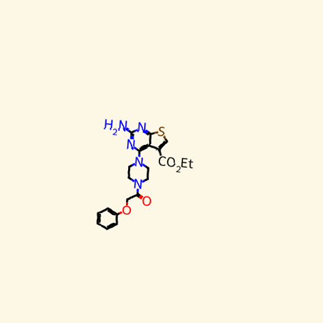 CCOC(=O)c1csc2nc(N)nc(N3CCN(C(=O)COc4ccccc4)CC3)c12